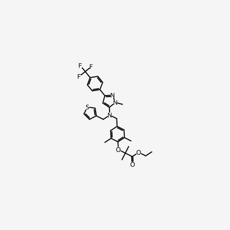 CCOC(=O)C(C)(C)Oc1c(C)cc(CN(Cc2ccsc2)c2cc(-c3ccc(C(F)(F)F)cc3)nn2C)cc1C